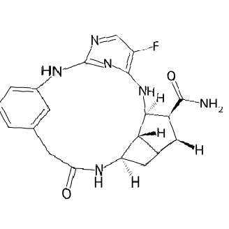 NC(=O)[C@H]1[C@H]2C[C@H]3[C@H]1Nc1nc(ncc1F)Nc1cccc(c1)CC(=O)N[C@@H]3C2